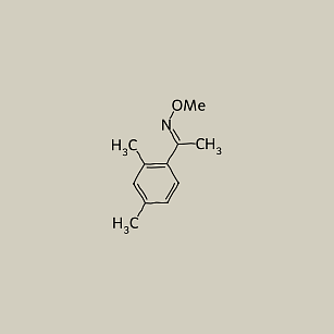 CON=C(C)c1ccc(C)cc1C